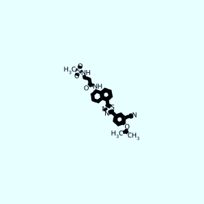 CC(C)Oc1ccc(-c2nnc(-c3cccc4c3CCC[C@@H]4NC(=O)CCNS(C)(=O)=O)s2)cc1C#N